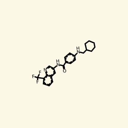 O=C(Nc1cnc2c(C(F)(F)F)cccc2c1)c1ccc(NCC2CCCCC2)cc1